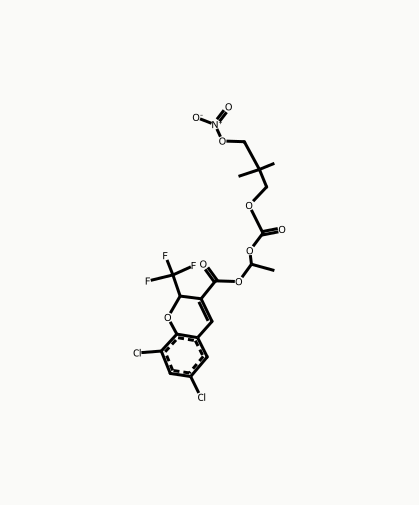 CC(OC(=O)OCC(C)(C)CO[N+](=O)[O-])OC(=O)C1=Cc2cc(Cl)cc(Cl)c2OC1C(F)(F)F